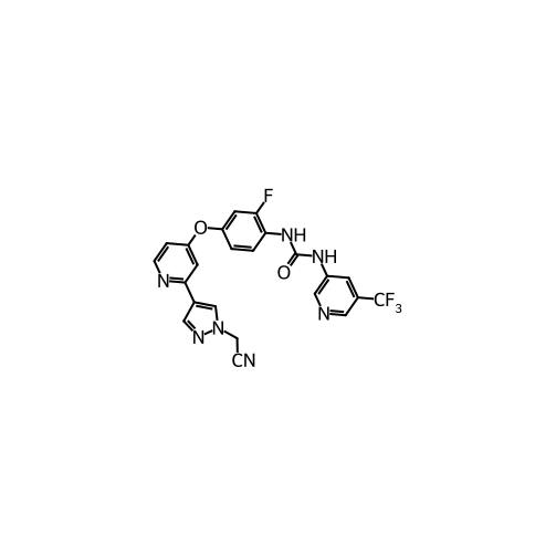 N#CCn1cc(-c2cc(Oc3ccc(NC(=O)Nc4cncc(C(F)(F)F)c4)c(F)c3)ccn2)cn1